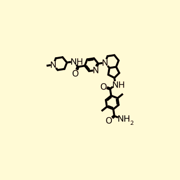 Cc1cc(C(=O)NC2CC3CCCN(c4ccc(C(=O)NC5CCN(C)CC5)cn4)C3C2)c(C)cc1C(N)=O